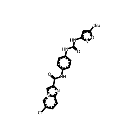 CC(C)(C)c1cc(NC(=O)Nc2ccc(NC(=O)c3cn4cc(Cl)ccc4n3)cc2)no1